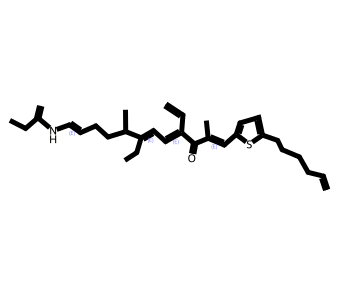 C=CCCCCc1ccc(/C=C(\C)C(=O)/C(C=C)=C/C=C(\CC)C(C)CC/C=C/NC(=C)CC)s1